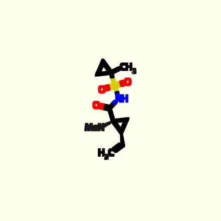 C=C[C@@H]1C[C@]1(NC)C(=O)NS(=O)(=O)C1(C)CC1